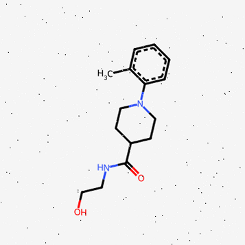 Cc1ccccc1N1CCC(C(=O)NCCO)CC1